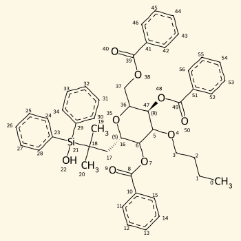 CCCCOC1C(OC(=O)c2ccccc2)[C@H](CC(C)(C)[Si](O)(c2ccccc2)c2ccccc2)OC(COC(=O)c2ccccc2)[C@H]1OC(=O)c1ccccc1